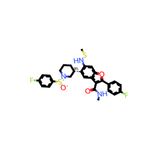 CNC(=O)c1c(-c2ccc(F)cc2)oc2cc(NSC)c([C@H]3CCCN([S+]([O-])c4ccc(F)cc4)C3)cc12